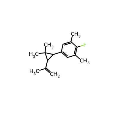 C=C(C)C1C(c2cc(C)c(F)c(C)c2)C1(C)C